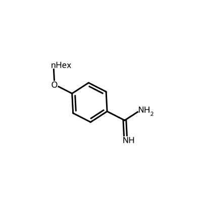 CCCCCCOc1ccc(C(=N)N)cc1